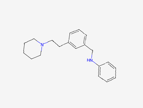 c1ccc(NCc2cccc(CCN3CCCCC3)c2)cc1